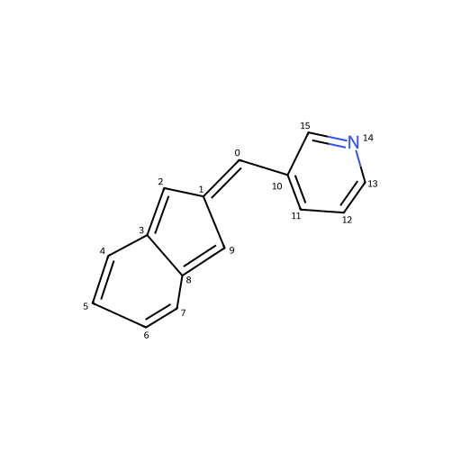 C(=C1C=c2ccccc2=C1)c1cccnc1